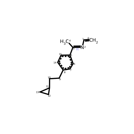 C=C/N=C(\C)c1ccc(CCC2CC2)cc1